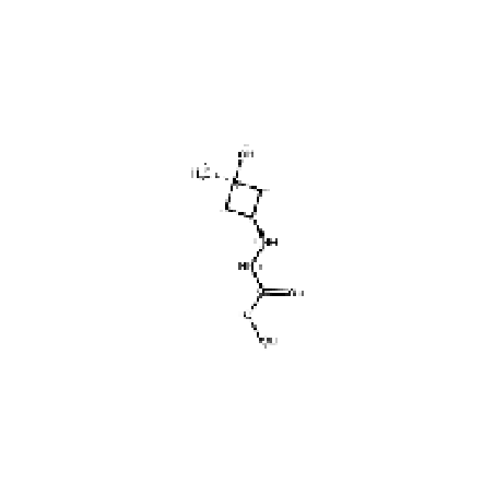 CC(C)(C)OC(=O)NN[C@H]1C[C@@](C)(O)C1